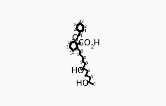 CC(O)CCCC(O)CCCCCc1cccc(OCc2ccccc2)c1C(=O)O